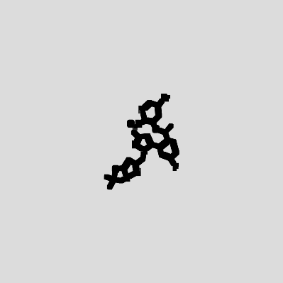 Cc1cc(-c2cc(F)ccc2[C@H](C)Oc2cc(Br)cnc2[N+](=O)[O-])n(Cc2cc3n(n2)CC(C)(C)O3)n1